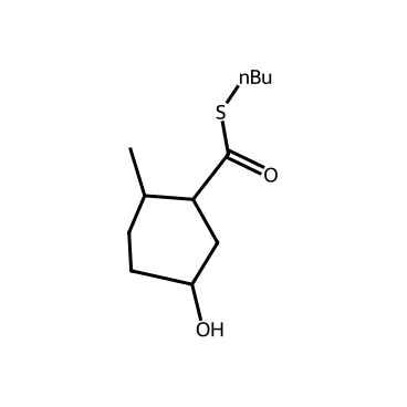 CCCCSC(=O)C1CC(O)CCC1C